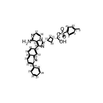 Cc1ccc(S(=O)(=O)OC(O)[C@H]2C[C@@H](c3nc(-c4ccc5ccc(-c6ccccc6)nc5c4)c4c(N)nccn43)C2)cc1